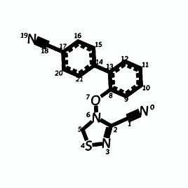 N#CC1=NSCN1Oc1ccccc1-c1ccc(C#N)cc1